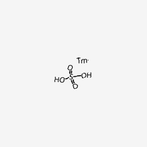 O=S(=O)(O)O.[Tm]